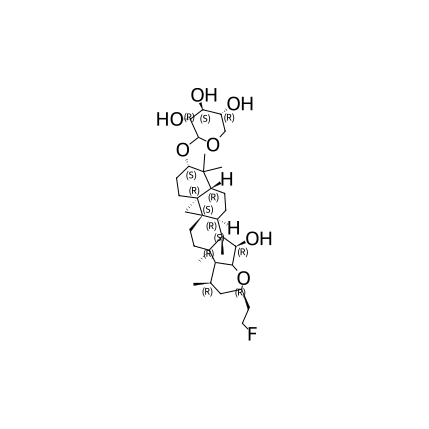 C[C@@H]1C[C@H](CCF)OC2C1[C@@]1(C)CC[C@@]34C[C@@]35CC[C@H](OC3OC[C@@H](O)[C@H](O)[C@H]3O)C(C)(C)[C@@H]5CC[C@H]4[C@]1(C)[C@H]2O